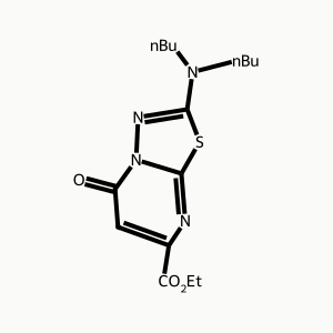 CCCCN(CCCC)c1nn2c(=O)cc(C(=O)OCC)nc2s1